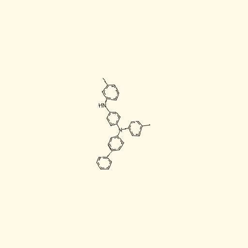 Cc1ccc(N(c2ccc(Nc3cccc(C)c3)cc2)c2ccc(-c3ccccc3)cc2)cc1